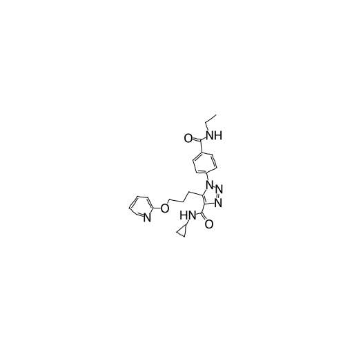 CCNC(=O)c1ccc(-n2nnc(C(=O)NC3CC3)c2CCCOc2ccccn2)cc1